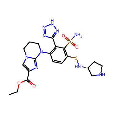 CCOC(=O)c1cn2c(n1)N(c1ccc(SN[C@@H]3CCNC3)c(S(N)(=O)=O)c1-c1nn[nH]n1)CCC2